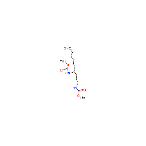 CC(C)(C)OC(=O)NCCCC(CCCCCC=O)NC(=O)OC(C)(C)C